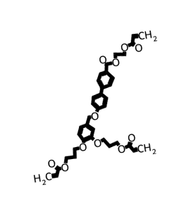 C=CC(=O)OCCCOc1ccc(COc2ccc(-c3ccc(C(=O)OCCOC(=O)C=C)cc3)cc2)cc1OCCCOC(=O)C=C